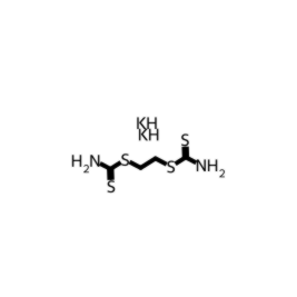 NC(=S)SCCSC(N)=S.[KH].[KH]